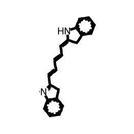 C(=C/C=C/C1=[N+]c2ccccc2C1)C=C1Cc2ccccc2N1